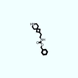 O=C(NCCC1CC2(CCNCC2)C1)OCc1ccccc1